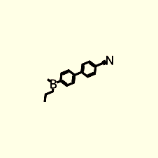 CCCB(C)c1ccc(-c2ccc(C#N)cc2)cc1